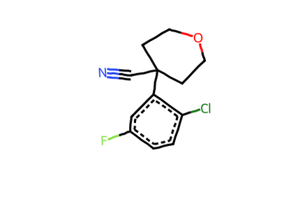 N#CC1(c2cc(F)ccc2Cl)CCOCC1